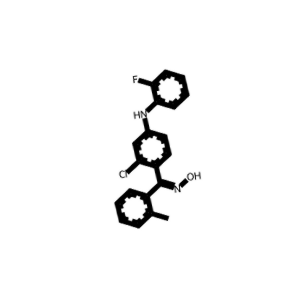 Cc1ccccc1C(=NO)c1ccc(Nc2ccccc2F)cc1Cl